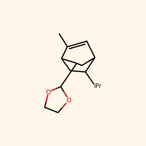 CC1=CC2CC(C3OCCO3)C1CC2C(C)C